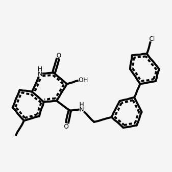 Cc1ccc2[nH]c(=O)c(O)c(C(=O)NCc3cccc(-c4ccc(Cl)cc4)c3)c2c1